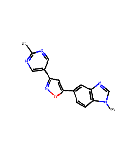 CCc1ncc(-c2cc(-c3ccc4c(c3)ncn4C(C)C)on2)cn1